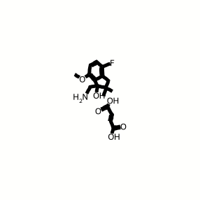 COc1ccc(F)c2c1C(O)(CN)C(C)(C)C2.O=C(O)/C=C/C(=O)O